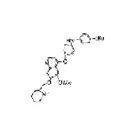 COc1cc2c(Oc3ccc(Nc4ccc(C(C)(C)C)cc4)cc3)ccnc2cc1OCC1CCCCN1C